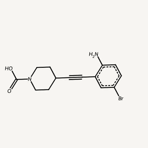 Nc1ccc(Br)cc1C#CC1CCN(C(=O)O)CC1